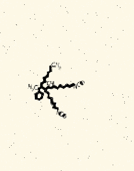 CCCCCCCCC(C(C)C1CCCCC1)C(CCCCCCCCN=C=O)C(C)CCCCCCCCN=C=O